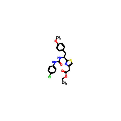 CCOC(=O)Cc1csc(C(Cc2ccc(OC)cc2)NC(=O)Nc2ccc(Cl)cc2)n1